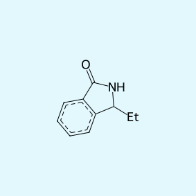 CCC1NC(=O)c2ccccc21